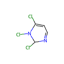 ClC1=CC=NC(Cl)N1Cl